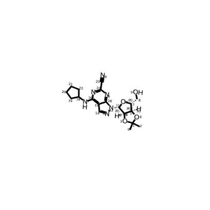 CC1(C)O[C@@H]2[C@H](O1)[C@@H](CO)O[C@H]2n1ncc2c(NC3CCCC3)nc(C#N)nc21